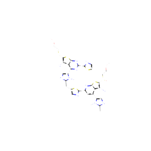 COCC[S+]([O-])c1sc2nc(-c3nc(F)c(Cc4ncc(-c5nc(-c6nccs6)nc6sc([S+]([O-])CCOC)c(N)c56)n4C)s3)cc(-c3cnc(C)n3C)c2c1N